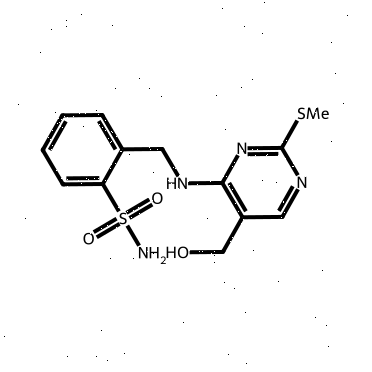 CSc1ncc(CO)c(NCc2ccccc2S(N)(=O)=O)n1